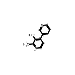 [CH2]c1c(-c2cccnc2)ccnc1C